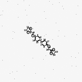 c1cc(-c2ccc(OCC3OCCO3)cc2)ccc1OCC1OCCO1